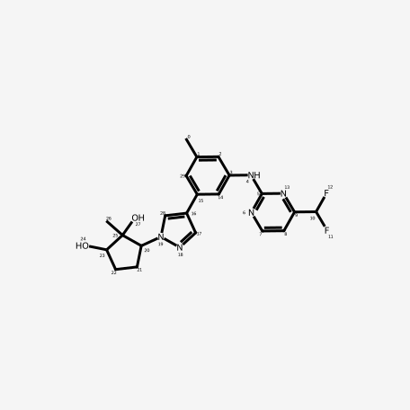 Cc1cc(Nc2nccc(C(F)F)n2)cc(-c2cnn(C3CCC(O)C3(C)O)c2)c1